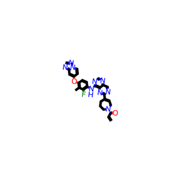 C=CC(=O)N1CC=C(c2ncc3ncnc(Nc4ccc(Oc5ccn6ncnc6c5)c(C)c4F)c3n2)CCC1